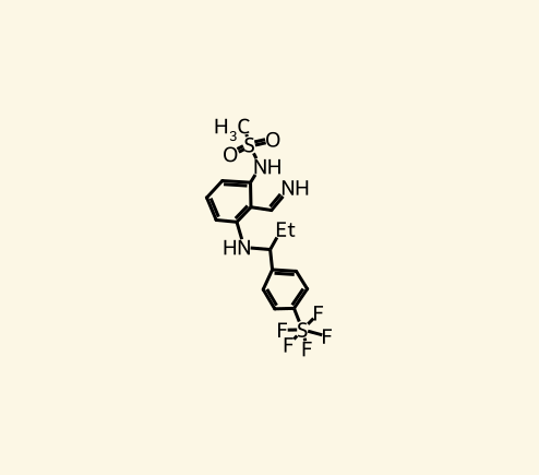 CCC(Nc1cccc(NS(C)(=O)=O)c1C=N)c1ccc(S(F)(F)(F)(F)F)cc1